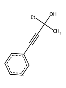 CCC(C)(O)C#Cc1c[c]ccc1